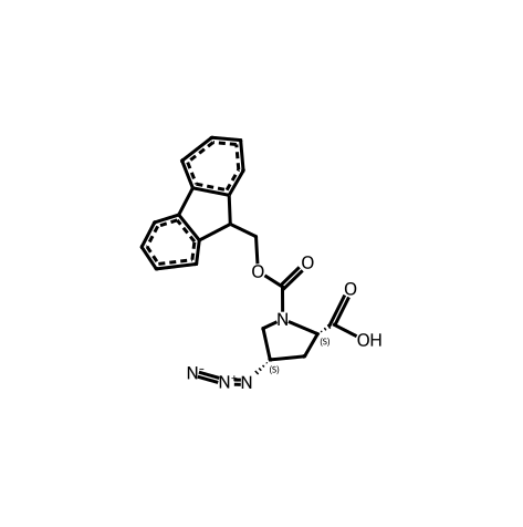 [N-]=[N+]=N[C@H]1C[C@@H](C(=O)O)N(C(=O)OCC2c3ccccc3-c3ccccc32)C1